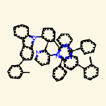 Cc1ccccc1-c1ccc2c(c1)c1ccccc1n2-c1cccnc1-c1c(-c2nc(-c3ccccc3)nc(-c3ccccc3)n2)cccc1-n1c2ccccc2c2cc(-c3ccccc3C)ccc21